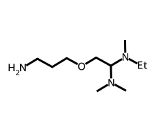 CCN(C)C(COCCCN)N(C)C